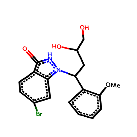 COc1ccccc1C(CC(O)CO)n1[nH]c(=O)c2ccc(Br)cc21